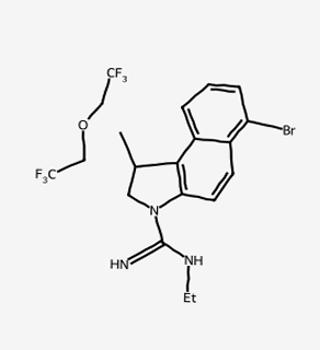 CCNC(=N)N1CC(C)c2c1ccc1c(Br)cccc21.FC(F)(F)COCC(F)(F)F